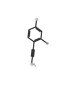 CC#Cc1ccc(Cl)cc1Br